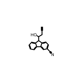 C#CCC(O)C1c2ccccc2-c2cc(C#N)ccc21